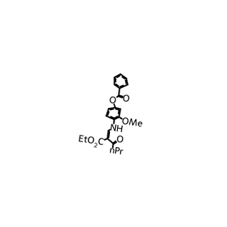 CCCC(=O)C(=CNc1ccc(OC(=O)c2ccccc2)cc1OC)C(=O)OCC